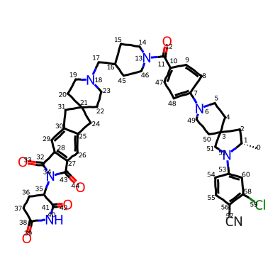 C[C@H]1CC2(CCN(c3ccc(C(=O)N4CCC(CN5CCC6(CC5)Cc5cc7c(cc5C6)C(=O)N(C5CCC(=O)NC5=O)C7=O)CC4)cc3)CC2)CN1c1ccc(C#N)c(Cl)c1